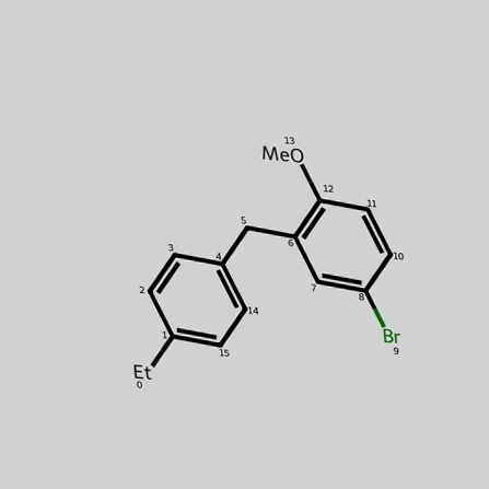 CCc1ccc(Cc2cc(Br)ccc2OC)cc1